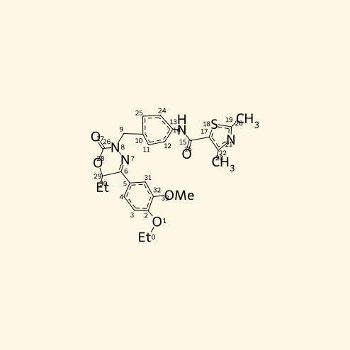 CCOc1ccc(C2=NN(Cc3ccc(NC(=O)c4sc(C)nc4C)cc3)C(=O)OC2CC)cc1OC